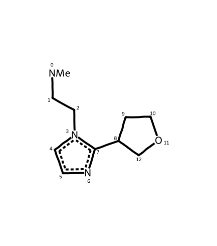 CNCCn1ccnc1C1CCOC1